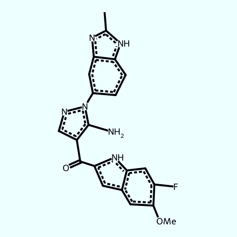 COc1cc2cc(C(=O)c3cnn(-c4ccc5[nH]c(C)nc5c4)c3N)[nH]c2cc1F